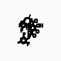 Cc1cc(F)c(CNC(=O)c2cn3c(c(O)c2=O)C(=O)N2C[C@@H]3[C@]3(CC[C@@H]2C)CC(F)=NO3)c(F)c1